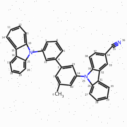 Cc1cc(-c2cccc(-n3c4ccccc4c4ccccc43)c2)cc(-n2c3ccccc3c3cc(C#N)ccc32)c1